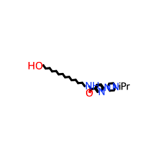 CC(C)N1CCN(c2ccc(C(=O)NCCCCCCCCCCCCCCO)cn2)CC1